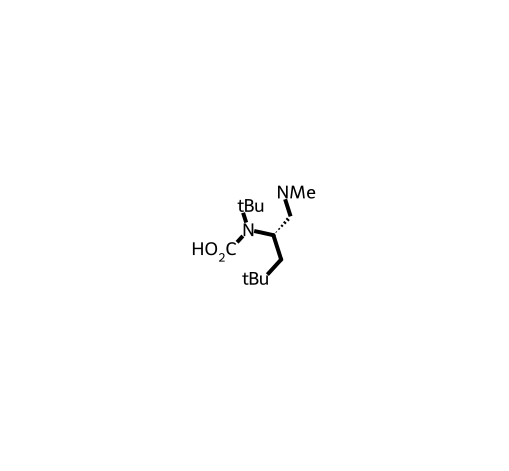 CNC[C@H](CC(C)(C)C)N(C(=O)O)C(C)(C)C